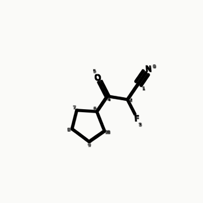 N#CC(F)C(=O)C1CCCC1